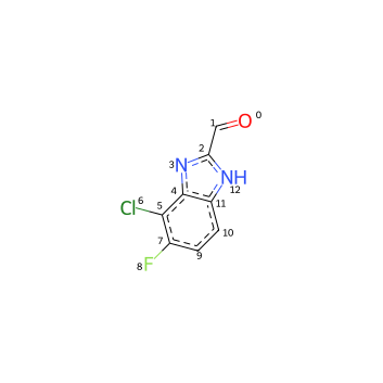 O=Cc1nc2c(Cl)c(F)ccc2[nH]1